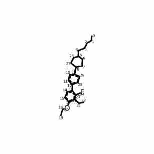 CCCCCC1CCC(c2ccc(-c3ccc(OCC)c(CC)c3F)cc2)CC1